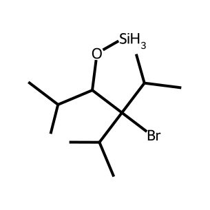 CC(C)C(O[SiH3])C(Br)(C(C)C)C(C)C